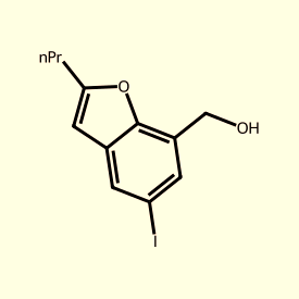 CCCc1cc2cc(I)cc(CO)c2o1